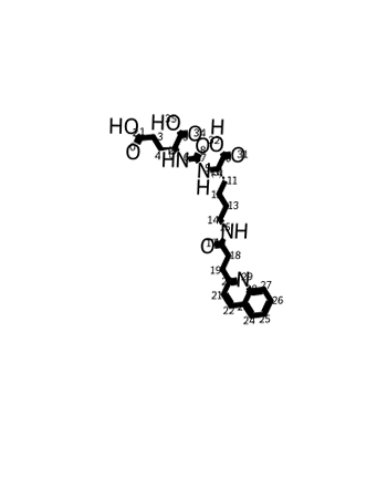 O=C(O)CC[C@H](NC(=O)N[C@@H](CCCCNC(=O)CCc1ccc2ccccc2n1)C(=O)O)C(=O)O